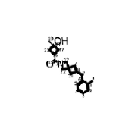 Cc1ccccc1CC1CC2(C1)CN(C(=O)[C@H]1C[C@@](C)(O)C1)C2